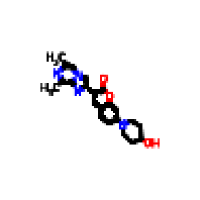 Cc1cn2cc(-c3cc4ccc(N5CCC(O)CC5)cc4oc3=O)nc2c(C)n1